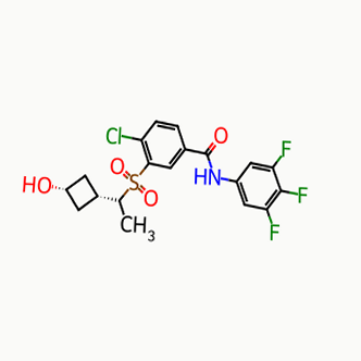 CC([C@H]1C[C@@H](O)C1)S(=O)(=O)c1cc(C(=O)Nc2cc(F)c(F)c(F)c2)ccc1Cl